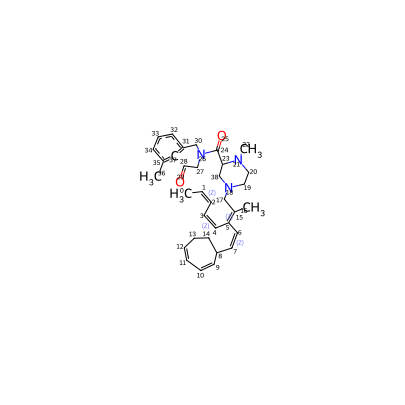 C\C=C/C=C\C(\C=C/C1C=CC=CCC1)=C(\C)CN1CCN(C)C(C(=O)N(CC=O)Cc2cccc(C)c2)C1